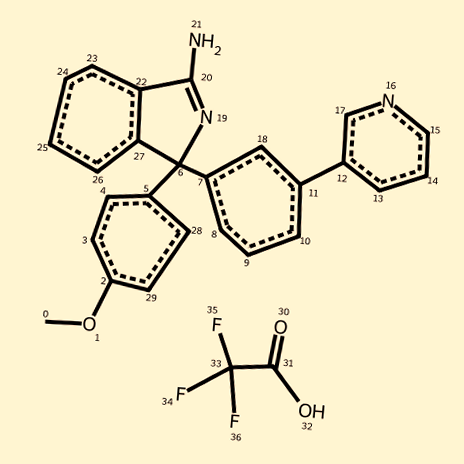 COc1ccc(C2(c3cccc(-c4cccnc4)c3)N=C(N)c3ccccc32)cc1.O=C(O)C(F)(F)F